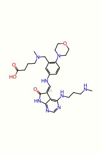 CNCCCNc1ncnc2c1/C(=C/Nc1ccc(N3CCOCC3)c(CN(C)CCCC(=O)O)c1)C(=O)N2